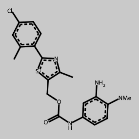 CNc1ccc(NC(=O)OCc2sc(-c3ccc(Cl)cc3C)nc2C)cc1N